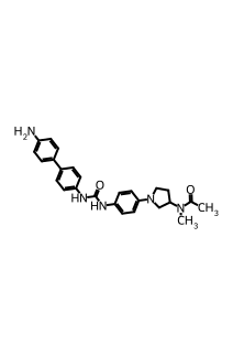 CC(=O)N(C)C1CCN(c2ccc(NC(=O)Nc3ccc(-c4ccc(N)cc4)cc3)cc2)C1